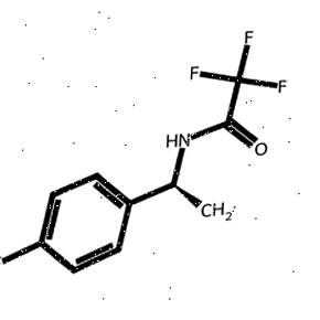 [CH2][C@H](NC(=O)C(F)(F)F)c1ccc(F)cc1